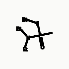 CCSP(C)(=O)N(CC)CC